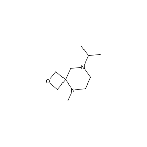 CC(C)N1CCN(C)C2(COC2)C1